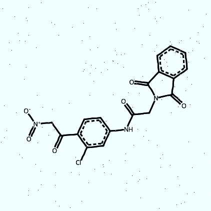 O=C(CN1C(=O)c2ccccc2C1=O)Nc1ccc(C(=O)C[N+](=O)[O-])c(Cl)c1